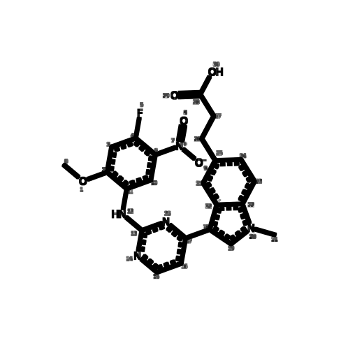 COc1cc(F)c([N+](=O)[O-])cc1Nc1nccc(-c2cn(C)c3ccc(CCC(=O)O)cc23)n1